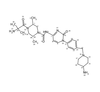 CC1CN(C(=O)Nc2ccn(-c3ccc(CN4CCC(N)CC4)cc3)c(=O)n2)[C@H](C)CN1C(=O)C(C)(C)N